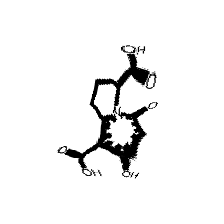 O=C(O)c1c(O)cc(=O)n2c1CCC2C(=O)O